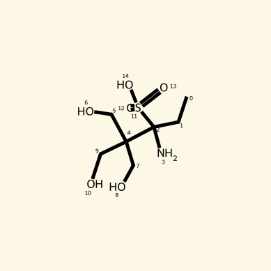 CCC(N)(C(CO)(CO)CO)S(=O)(=O)O